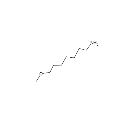 COCCCCCCCN